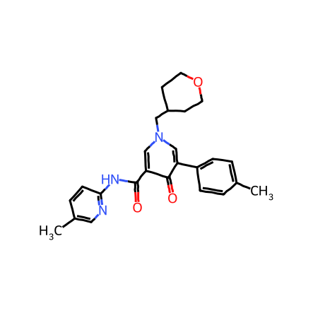 Cc1ccc(-c2cn(CC3CCOCC3)cc(C(=O)Nc3ccc(C)cn3)c2=O)cc1